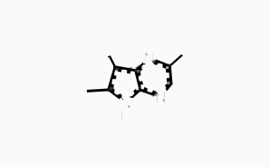 Cc1cnc2[nH]c(C)c(C)c2n1